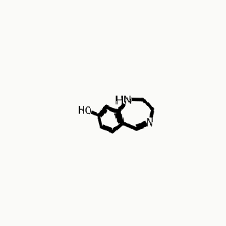 Oc1ccc2c(c1)NCCN=C2